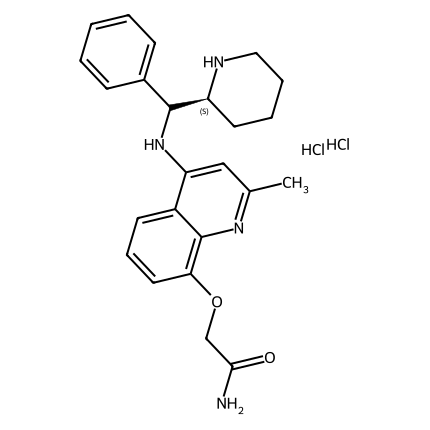 Cc1cc(NC(c2ccccc2)[C@@H]2CCCCN2)c2cccc(OCC(N)=O)c2n1.Cl.Cl